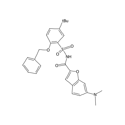 CN(C)c1ccc2cc(C(=O)NS(=O)(=O)c3cc(C(C)(C)C)ccc3OCc3ccccc3)oc2c1